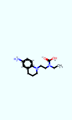 CCN(CCN1CCCc2cc(N)ccc21)C(=O)O